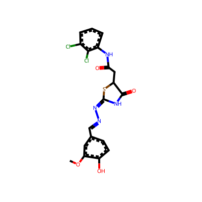 COc1cc(/C=N/N=C2\NC(=O)C(CC(=O)Nc3cccc(Cl)c3Cl)S2)ccc1O